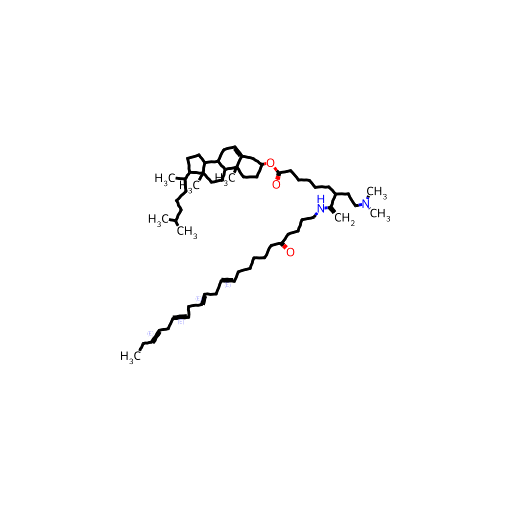 C=C(NCCCCC(=O)CCCCC/C=C/C/C=C/C/C=C/C/C=C/CC)C(CCCCCC(=O)OC1CCC2(C)C(=CCC3C2CCC2(C)C(C(C)CCCC(C)C)CCC32)C1)CCN(C)C